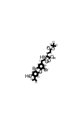 COC(=O)[C@H](CCC(=O)OC(C)(C)C)NC(=O)Cc1cc(Br)c(Oc2ccc(O)c(C(C)C)c2)c(Br)c1